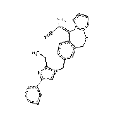 CCc1nc(-c2ccccc2)cn1Cc1ccc2c(c1)COc1ccccc1C2=C(C)C#N